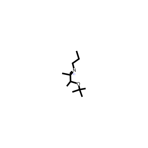 CCC/N=C(\C)C(C)OC(C)(C)C